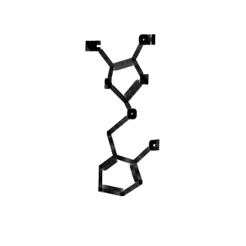 N#Cc1sc(OCc2ccccc2Cl)nc1O